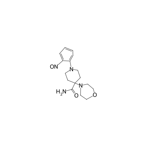 NC(=O)C1(N2CCOCC2)CCN(c2ccccc2N=O)CC1